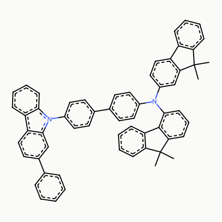 CC1(C)c2ccccc2-c2ccc(N(c3ccc(-c4ccc(-n5c6ccccc6c6ccc(-c7ccccc7)cc65)cc4)cc3)c3cccc4c3-c3ccccc3C4(C)C)cc21